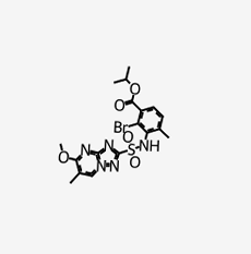 COc1nc2nc(S(=O)(=O)Nc3c(C)ccc(C(=O)OC(C)C)c3Br)nn2cc1C